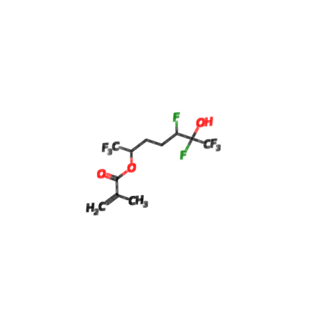 C=C(C)C(=O)OC(CCC(F)C(O)(F)C(F)(F)F)C(F)(F)F